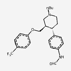 CCCCN1CC[C@H](c2ccc(NC=O)cc2)[C@@H](COc2ccc(C(F)(F)F)cc2)C1